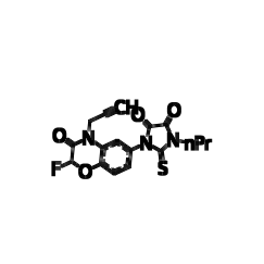 C#CCN1C(=O)C(F)Oc2ccc(N3C(=O)C(=O)N(CCC)C3=S)cc21